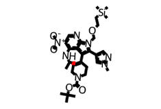 CC(C)Nc1c([N+](=O)[O-])cnc2c1c(C1=CCN(C(=O)OC(C)(C)C)CC1)c(-c1cnn(C)c1)n2COCC[Si](C)(C)C